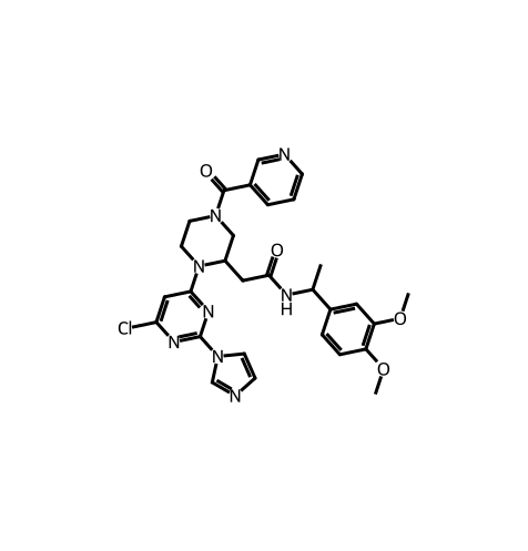 COc1ccc(C(C)NC(=O)CC2CN(C(=O)c3cccnc3)CCN2c2cc(Cl)nc(-n3ccnc3)n2)cc1OC